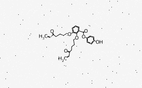 C=CC(=O)CCCCOc1cccc(C(=O)Oc2ccc(O)cc2)c1OCCCCC(=O)C=C